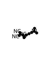 N#Cc1ccc2c(c1)c1cc(C#N)ccc1n2-c1ccc2c(c1)c1ccccc1n2-c1ccc(-c2ccc(-c3ccc(-c4cc(-c5ccccc5)nc(-c5ccccc5)n4)cc3)cc2)cc1C#N